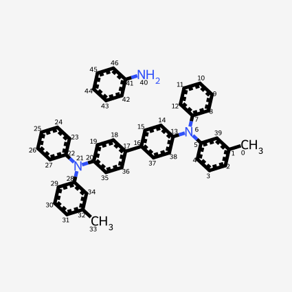 Cc1cccc(N(c2ccccc2)c2ccc(-c3ccc(N(c4ccccc4)c4cccc(C)c4)cc3)cc2)c1.Nc1ccccc1